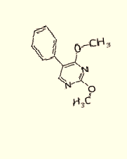 COc1ncc(-c2ccccc2)c(OC)n1